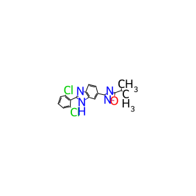 CC(C)c1nc(-c2ccc3nc(-c4c(Cl)cccc4Cl)[nH]c3c2)no1